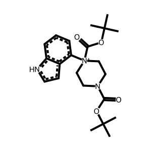 CC(C)(C)OC(=O)N1CC[N+](C(=O)OC(C)(C)C)(c2cccc3[nH]ccc23)CC1